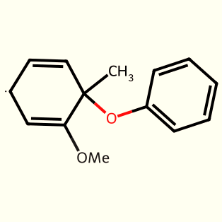 COC1=C[CH]C=CC1(C)Oc1ccccc1